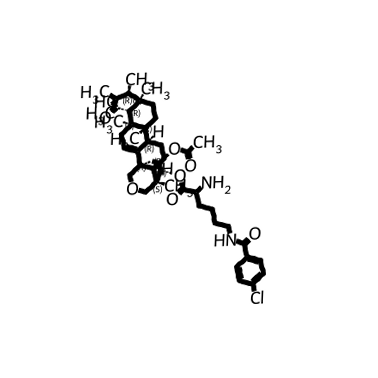 CC(=O)O[C@@H]1C[C@@]23COC[C@](C)([C@@H]2CC[C@H]2C3=CC[C@@]3(C)[C@H](C(=O)O)[C@@](C)([C@H](C)C(C)C)CC[C@]23C)[C@H]1OC(=O)C(N)CCCCNC(=O)c1ccc(Cl)cc1